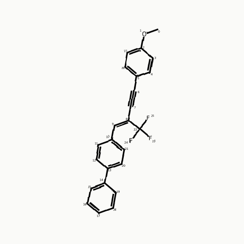 COc1ccc(C#CC(=Cc2ccc(-c3ccccc3)cc2)C(F)(F)F)cc1